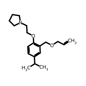 C=CCOCc1cc(C(C)C)ccc1OCCN1CCCC1